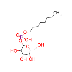 CCCCCCCCOP(=O)(O)OC1O[C@H](CO)[C@@H](O)[C@H](O)[C@H]1O